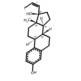 C[C@]12CC[C@@H]3c4ccc(O)cc4CC[C@H]3[C@@H]1CC[C@@]2(O)/C=C\I